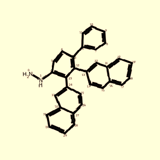 NNc1ccc(-c2ccccc2)c(-c2ccc3ccccc3c2)c1-c1ccc2ccccc2c1